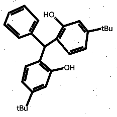 CC(C)(C)c1ccc(C(c2ccccc2)c2ccc(C(C)(C)C)cc2O)c(O)c1